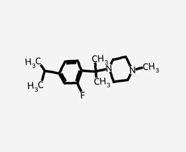 CC(C)c1ccc(C(C)(C)N2CCN(C)CC2)c(F)c1